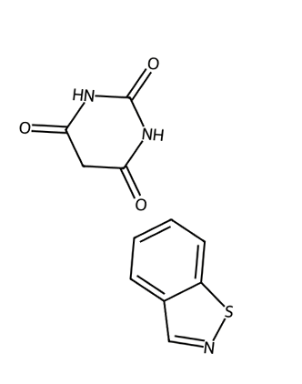 O=C1CC(=O)NC(=O)N1.c1ccc2sncc2c1